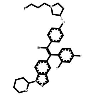 CC/C(=C(\c1ccc2c(cnn2C2CCCCO2)c1)c1ccc(F)cc1Cl)c1ccc(O[C@H]2CCN(CCCF)C2)cc1